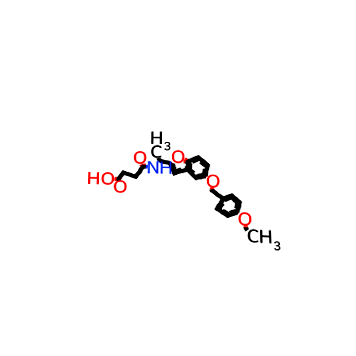 CCOc1ccc(COc2ccc3oc(C(C)NC(=O)CCC(=O)O)cc3c2)cc1